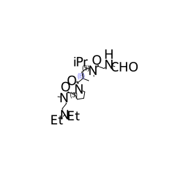 CCN(CC)CCN(C)C(=O)[C@@H]1CCCN1C(=O)/C(C)=C/[C@H](C(C)C)N(C)C(=O)CNC=O